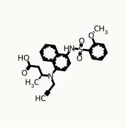 C#CCN(c1ccc(NS(=O)(=O)c2ccccc2OC)c2ccccc12)[C@@H](C)CC(=O)O